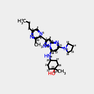 CCCc1cnc(-c2cc3nc(N4CCCC4)cc(NC4CCC(C)(O)CC4)n3n2)c(C)n1